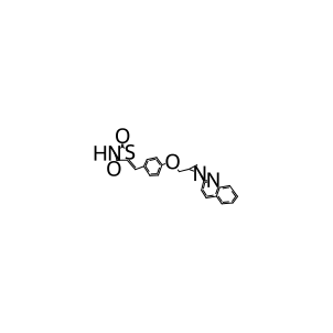 O=C1NC(=O)C(=Cc2ccc(OCC3CN3c3ccc4ccccc4n3)cc2)S1